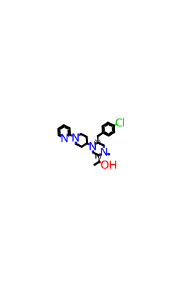 CC(O)[C@H]1CN(C2CCN(c3ccccn3)CC2)[C@@H](Cc2ccc(Cl)cc2)CN1C